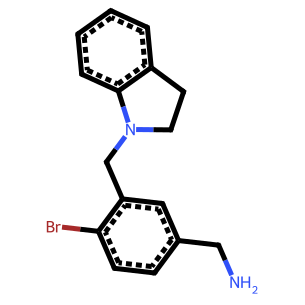 NCc1ccc(Br)c(CN2CCc3ccccc32)c1